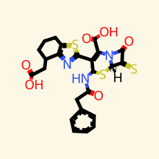 O=C(O)CC1CCCc2sc(C3=C(C(=O)O)N4C(=O)C(=S)[C@@H]4SC3NC(=O)Cc3ccccc3)nc21